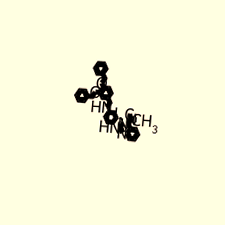 CN(C)c1nc(N[C@H]2CC[C@@H](NCc3ccc(OCc4ccccc4)c(OCc4ccccc4)c3)CC2)nc2ccccc12